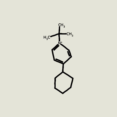 CC(C)(C)[n+]1ccc(C2CCCCC2)cc1